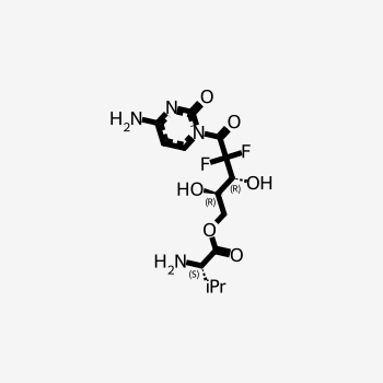 CC(C)[C@H](N)C(=O)OC[C@@H](O)[C@@H](O)C(F)(F)C(=O)n1ccc(N)nc1=O